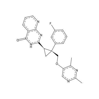 Cc1ncc(OC[C@@]2(c3cccc(F)c3)C[C@H]2c2nc3ncccc3c(=O)[nH]2)c(C)n1